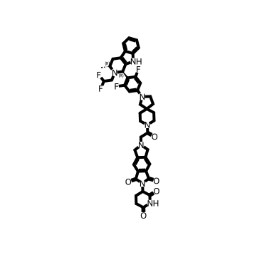 C[C@@H]1Cc2c([nH]c3ccccc23)[C@@H](c2c(F)cc(N3CCC4(CCN(C(=O)CN5Cc6cc7c(cc6C5)C(=O)N(C5CCC(=O)NC5=O)C7=O)CC4)C3)cc2F)N1CC(F)F